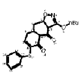 CCCCOC1=NOC2CC3CC=C(Sc4ccccc4)C(=O)C3C(=O)C12